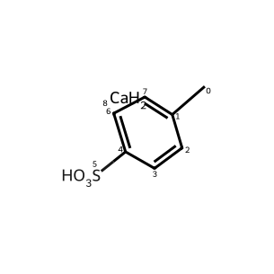 Cc1ccc(S(=O)(=O)O)cc1.[CaH2]